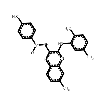 Cc1ccc([S+]([O-])Nc2nc3ccc(C)cc3nc2Nc2cc(C)ccc2C)cc1